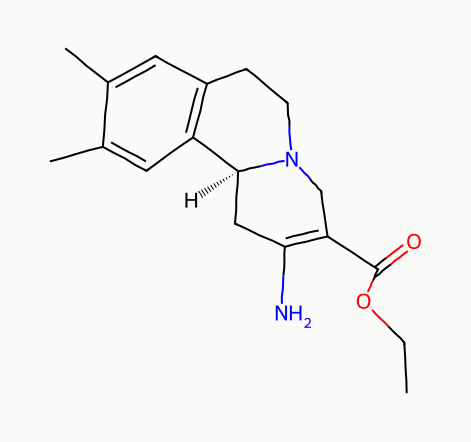 CCOC(=O)C1=C(N)C[C@H]2c3cc(C)c(C)cc3CCN2C1